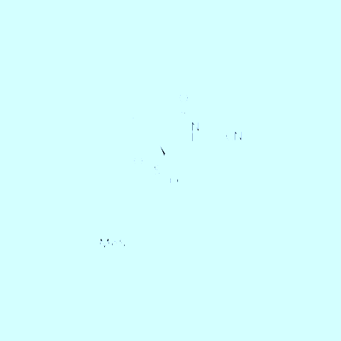 CSc1ccc(S(=O)(=O)C[C@H]2CC3(CC3)C[C@@H]2C(=O)NCC#N)cc1